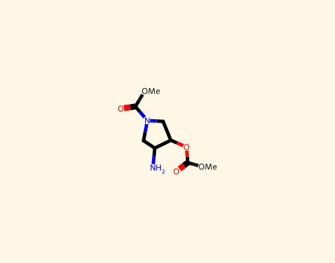 COC(=O)OC1CN(C(=O)OC)CC1N